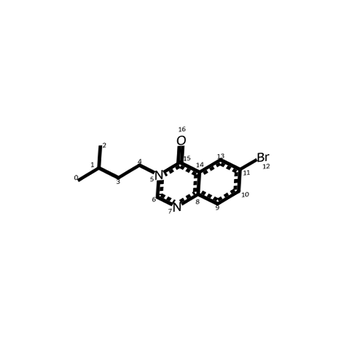 CC(C)CCn1cnc2ccc(Br)cc2c1=O